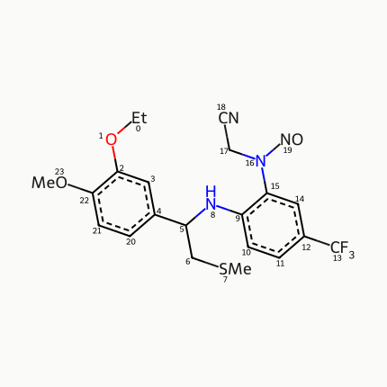 CCOc1cc(C(CSC)Nc2ccc(C(F)(F)F)cc2N(CC#N)N=O)ccc1OC